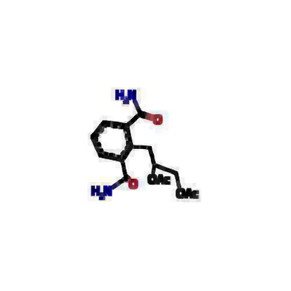 CC(=O)OCC(Cc1c(C(N)=O)cccc1C(N)=O)OC(C)=O